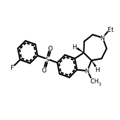 CCN1CC[C@H]2c3cc(S(=O)(=O)c4cccc(F)c4)ccc3N(C)[C@H]2CC1